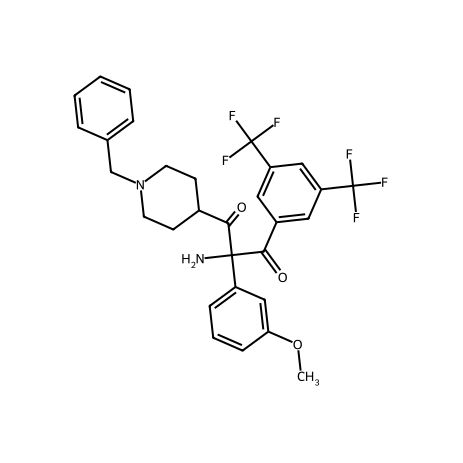 COc1cccc(C(N)(C(=O)c2cc(C(F)(F)F)cc(C(F)(F)F)c2)C(=O)C2CCN(Cc3ccccc3)CC2)c1